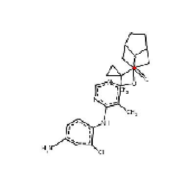 Cc1c(Nc2ccc(N)cc2Cl)ncnc1OC1CC2CCC(C1)N2C(=O)C1(C(F)(F)F)CC1